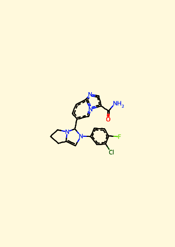 NC(=O)c1cnc2ccc(C3N4CCCC4=CN3c3ccc(F)c(Cl)c3)cn12